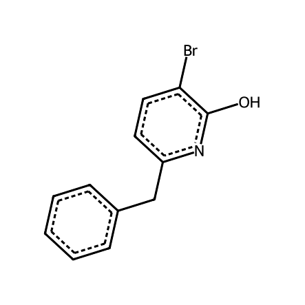 Oc1nc(Cc2ccccc2)ccc1Br